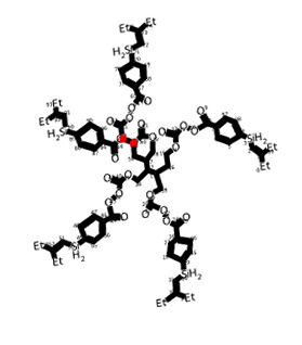 CCC(=C[SiH2]c1ccc(C(=O)OOC(=O)OCCC(COC(=O)OOC(=O)c2ccc([SiH2]C=C(CC)CC)cc2)C(COC(=O)OOC(=O)c2ccc([SiH2]C=C(CC)CC)cc2)C(CCOC(=O)OOC(=O)c2ccc([SiH2]C=C(CC)CC)cc2)COC(=O)OOC(=O)c2ccc([SiH2]C=C(CC)CC)cc2)cc1)CC